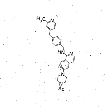 CC(=O)N1CCN(c2cc3ccnc(NCc4ccc(Cc5ccnc(C)c5)cc4)c3cn2)CC1